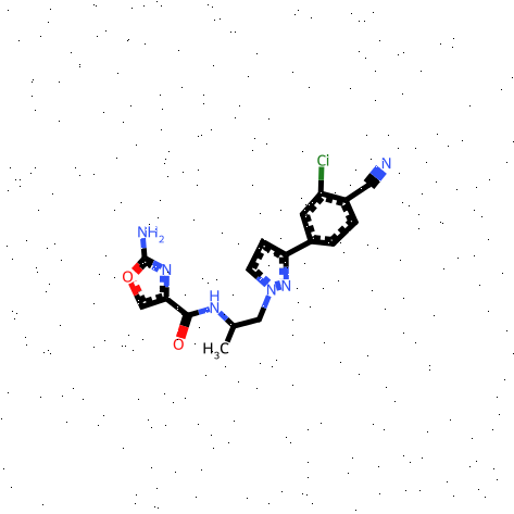 CC(Cn1ccc(-c2ccc(C#N)c(Cl)c2)n1)NC(=O)c1coc(N)n1